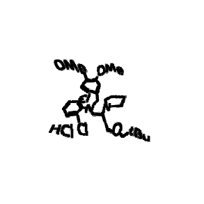 COc1ccc(CN(CC(COCC(C)(C)C)N2CCCC2)c2c(Cl)cccc2Cl)cc1OC.Cl